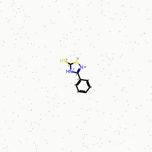 SC1NC(c2ccccc2)=NS1